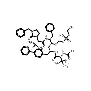 CCOP(=O)(O)OCO[C@@H](C[C@H](Cc1ccc(-c2ccccn2)cc1)NC(=O)[C@@H](NC(=O)O)C(C)(C)C)[C@H](Cc1ccccc1)NC(=O)[C@@H](N1CCN(Cc2ccccc2)C1=O)C(C)(C)C